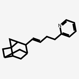 C(=C\C1C2CC3CC4(CC14)C3C2)/CCc1ccccn1